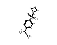 CC(C)c1ccc(S(=O)(=O)N2CCC2)cc1